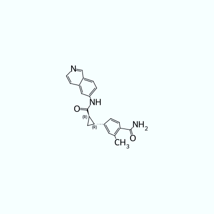 Cc1cc([C@@H]2C[C@H]2C(=O)Nc2ccc3cnccc3c2)ccc1C(N)=O